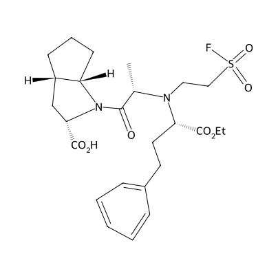 CCOC(=O)[C@H](CCc1ccccc1)N(CCS(=O)(=O)F)[C@@H](C)C(=O)N1[C@H](C(=O)O)C[C@@H]2CCC[C@@H]21